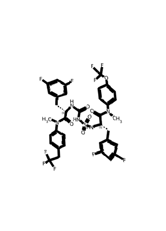 CN(C(=O)[C@H](Cc1cc(F)cc(F)c1)NC(=O)NS(=O)(=O)N[C@@H](Cc1cc(F)cc(F)c1)C(=O)N(C)c1ccc(OC(F)(F)F)cc1)c1ccc(CC(F)(F)F)cc1